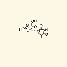 Cc1cn([C@H]2C[C@@H](O[N+](=O)O)[C@@H](CO)O2)c(=O)[nH]c1=O